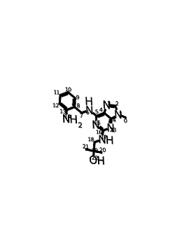 Cn1cnc2c(NCc3ccccc3N)nc(NCC(C)(C)O)nc21